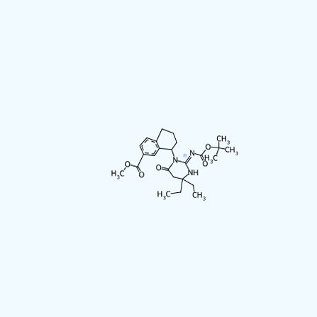 CCC1(CC)CC(=O)N(C2CCCc3ccc(C(=O)OC)cc32)/C(=N/C(=O)OC(C)(C)C)N1